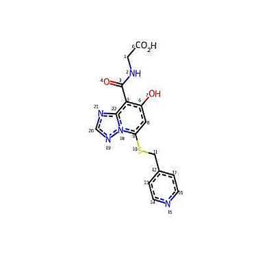 O=C(O)CNC(=O)c1c(O)cc(SCc2ccncc2)n2ncnc12